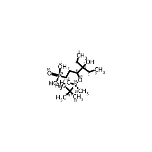 CCC(O)(CC)C(CCP(=O)(O)O)O[Si](C)(C)C(C)(C)C